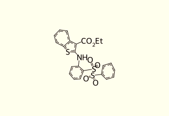 CCOC(=O)c1c(Nc2ccccc2S(=O)(=O)S(=O)(=O)c2ccccc2)sc2ccccc12